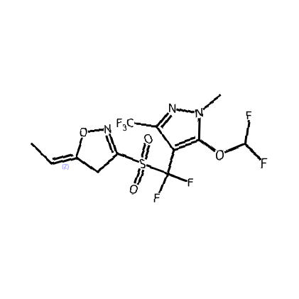 C/C=C1/CC(S(=O)(=O)C(F)(F)c2c(C(F)(F)F)nn(C)c2OC(F)F)=NO1